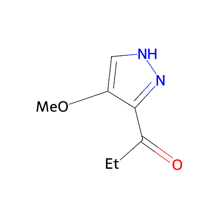 CCC(=O)c1n[nH]cc1OC